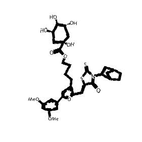 COc1cc(OC)cc(-c2cc(CCCCOC(=O)[C@]3(O)C[C@@H](O)[C@@H](O)[C@H](O)C3)c(/C=C3\SC(=S)N(C4CC5CCC4C5)C3=O)o2)c1